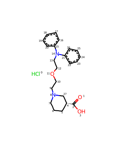 Cl.O=C(O)[C@@H]1CCCN(CCOCCN(c2ccccc2)c2ccccc2)C1